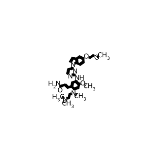 COCCOc1ccc2c(ccn2-c2ccnc(Nc3cc(C=CC(N)=O)c(N(C)CCN(C)C)cc3OC)n2)c1